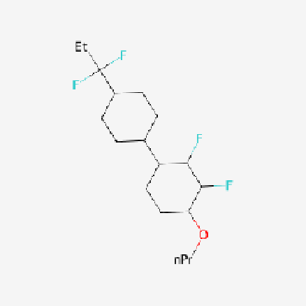 CCCOC1CCC(C2CCC(C(F)(F)CC)CC2)C(F)C1F